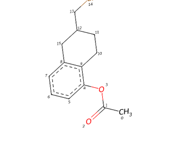 CC(=O)Oc1cccc2c1CCC(CBr)C2